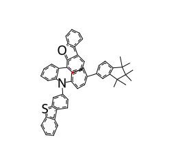 CC1(C)c2ccc(-c3ccc(N(c4ccc5c(c4)sc4ccccc45)c4ccccc4-c4cccc5c4oc4ccccc45)cc3)cc2C(C)(C)C1(C)C